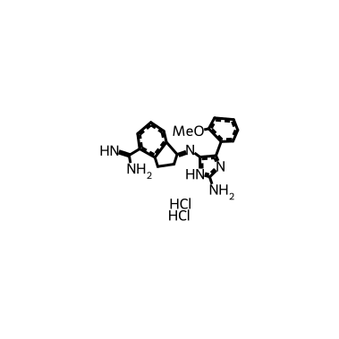 COc1ccccc1-c1nc(N)[nH]c1N=C1CCc2c(C(=N)N)cccc21.Cl.Cl